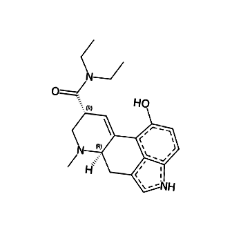 CCN(CC)C(=O)[C@@H]1C=C2c3c(O)ccc4[nH]cc(c34)C[C@H]2N(C)C1